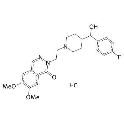 COc1cc2cnn(CCN3CCC(C(O)c4ccc(F)cc4)CC3)c(=O)c2cc1OC.Cl